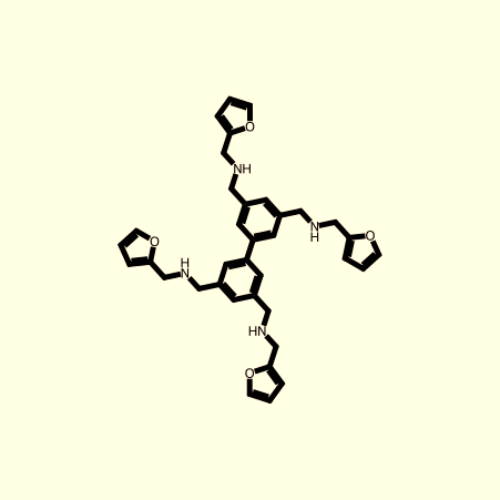 c1coc(CNCc2cc(CNCc3ccco3)cc(-c3cc(CNCc4ccco4)cc(CNCc4ccco4)c3)c2)c1